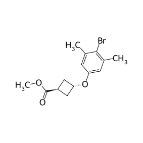 COC(=O)[C@H]1C[C@H](Oc2cc(C)c(Br)c(C)c2)C1